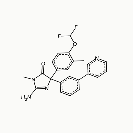 Cc1cc(C2(c3cccc(-c4cccnc4)c3)N=C(N)N(C)C2=O)ccc1OC(F)F